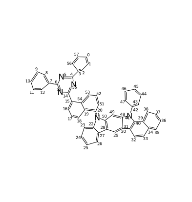 c1ccc(-c2nc(-c3ccccc3)nc(-c3cccc4c(-n5c6ccccc6c6cc7c8ccc9ccccc9c8n(-c8ccccc8)c7cc65)cccc34)n2)cc1